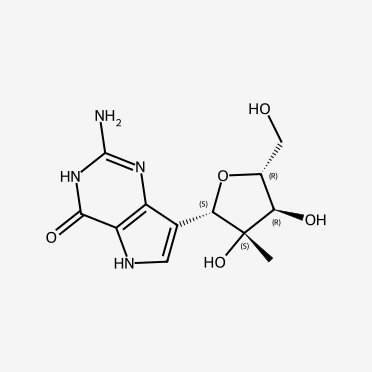 C[C@]1(O)[C@H](O)[C@@H](CO)O[C@H]1c1c[nH]c2c(=O)[nH]c(N)nc12